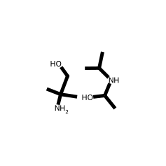 CC(C)(N)CO.CC(C)NC(C)O